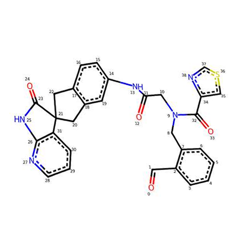 O=Cc1ccccc1CN(CC(=O)Nc1ccc2c(c1)CC1(C2)C(=O)Nc2ncccc21)C(=O)c1cscn1